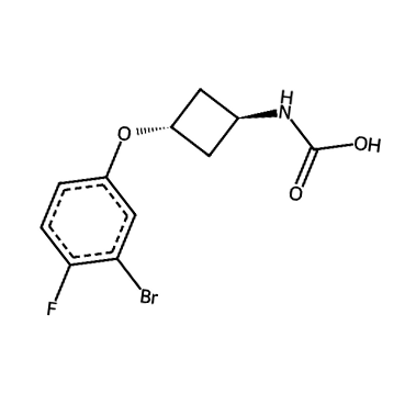 O=C(O)N[C@H]1C[C@H](Oc2ccc(F)c(Br)c2)C1